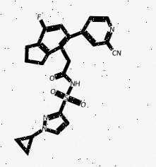 N#Cc1cc(-c2cc(F)c3c(c2CC(=O)NS(=O)(=O)c2ccn(C4CC4)n2)CCC3)ccn1